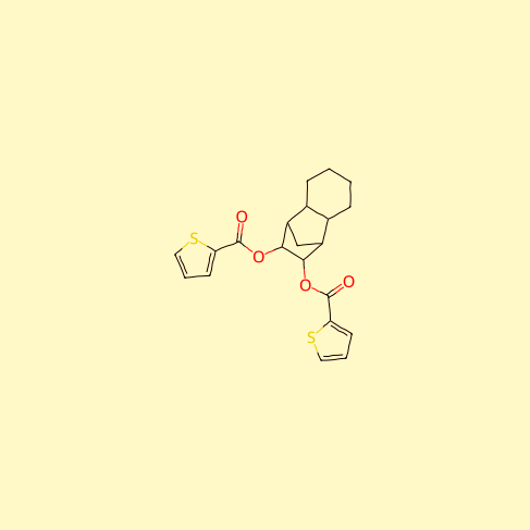 O=C(OC1C2CC(C3CCCCC32)C1OC(=O)c1cccs1)c1cccs1